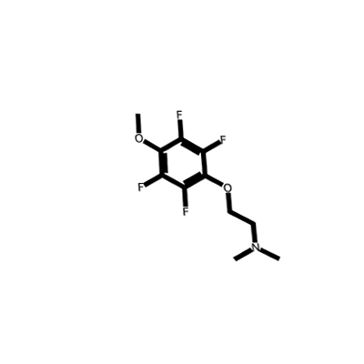 COc1c(F)c(F)c(OCCN(C)C)c(F)c1F